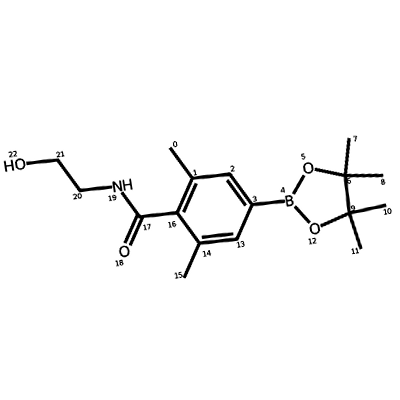 Cc1cc(B2OC(C)(C)C(C)(C)O2)cc(C)c1C(=O)NCCO